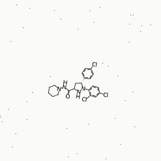 O=C(NN1CCCCC1)C1C[C@H](c2ccc(Cl)cc2)N(c2ccc(Cl)cc2Cl)N1